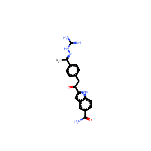 C/C(=N\NC(=N)N)c1ccc(CC(=O)c2cc3cc(C(N)=O)ccc3[nH]2)cc1